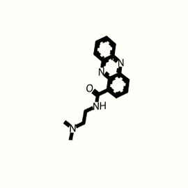 CN(C)CCNC(=O)c1cccc2nc3ccccc3nc12